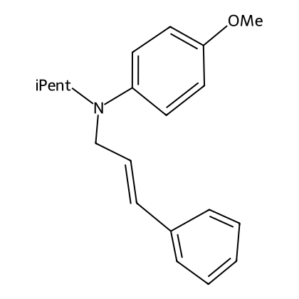 CCCC(C)N(C/C=C/c1ccccc1)c1ccc(OC)cc1